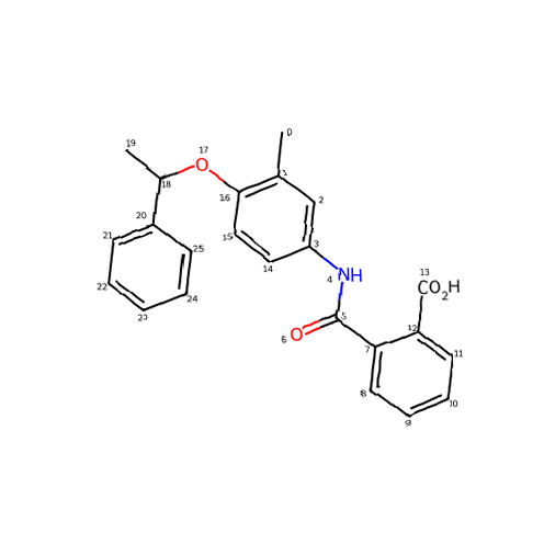 Cc1cc(NC(=O)c2ccccc2C(=O)O)ccc1OC(C)c1ccccc1